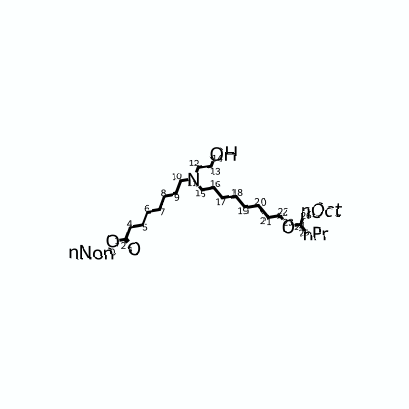 CCCCCCCCCOC(=O)CCCCCCCN(CCO)CCCCCCCCOC(CCC)CCCCCCCC